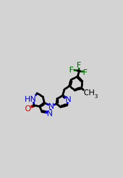 Cc1cc(Cc2cc(-n3ncc4c3CCNC4=O)ccn2)cc(C(F)(F)F)c1